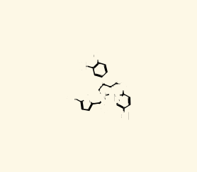 C[C@H](Oc1ccc(Cl)cn1)[C@@H]1CN(C(=O)c2ccc(Cl)s2)C[C@@H]1c1ccc(Cl)c(Cl)c1